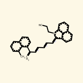 C=C(/C=C/C=C/C=c1/c2cccc3cccc(c32)n1CCC#N)c1cccc2cccc(C)c12